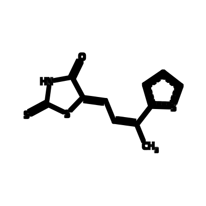 CC(=CC=C1SC(=S)NC1=O)c1cccs1